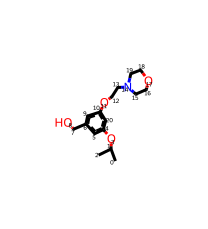 CC(C)Oc1cc(CO)cc(OCCN2CCOCC2)c1